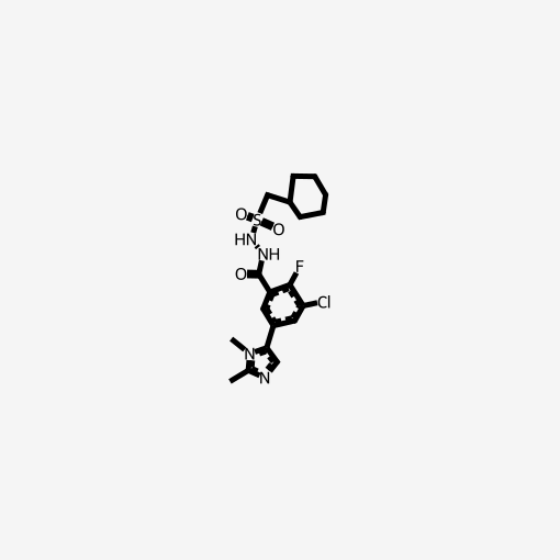 Cc1ncc(-c2cc(Cl)c(F)c(C(=O)NNS(=O)(=O)CC3CCCCC3)c2)n1C